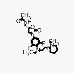 CCN(CCN1CCCCN1C)c1c(F)cc(N2C[C@H](CNC(C)=O)OC2=O)cc1F